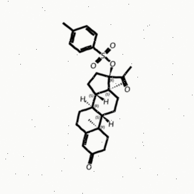 CC(=O)[C@@]1(OS(=O)(=O)c2ccc(C)cc2)CC[C@H]2[C@@H]3CCC4=CC(=O)CC[C@]4(C)[C@H]3CC[C@@]21C